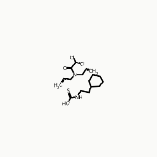 C=CCN(CC=C)C(=O)C(Cl)Cl.OC(=S)NCCC1CCCCC1